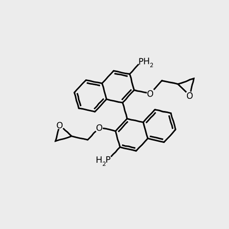 Pc1cc2ccccc2c(-c2c(OCC3CO3)c(P)cc3ccccc23)c1OCC1CO1